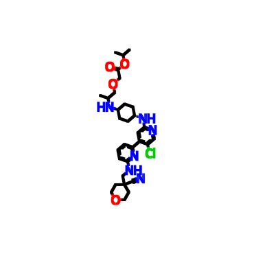 CC(COCC(=O)OC(C)C)N[C@H]1CC[C@H](Nc2cc(-c3cccc(NCC4(C#N)CCOCC4)n3)c(Cl)cn2)CC1